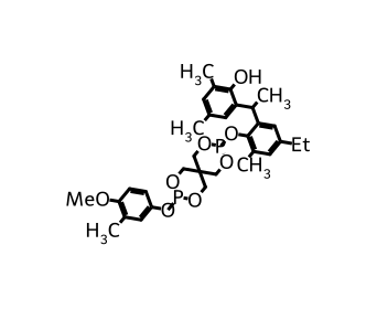 CCc1cc(C)c(OP2OCC3(COP(Oc4ccc(OC)c(C)c4)OC3)CO2)c(C(C)c2cc(C)cc(C)c2O)c1